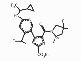 CCOC(=O)c1nc(C(=O)N2CC(F)(F)C[C@@H]2C)c(-c2cnc(NC(C3CC3)C(F)(F)F)cc2C(F)F)s1